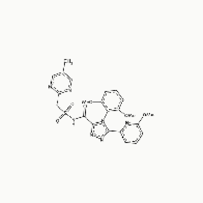 COc1cccc(-c2nnc(C(=O)NS(=O)(=O)Cc3ncc(C)cn3)n2-c2c(OC)cccc2OC)n1